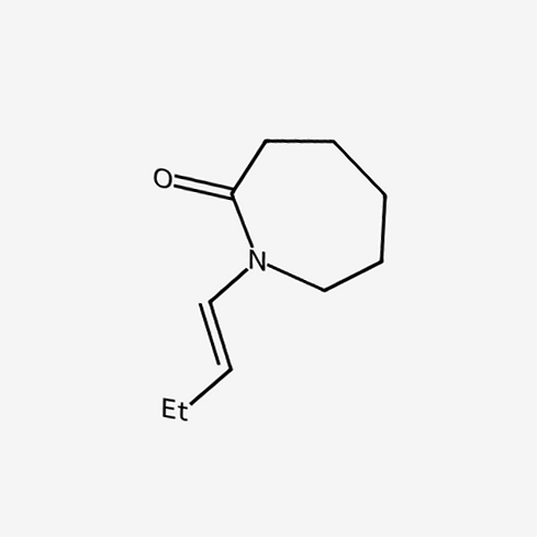 CC/C=C/N1CCCCCC1=O